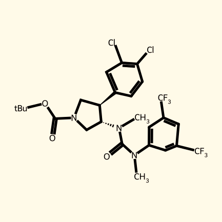 CN(C(=O)N(C)[C@@H]1CN(C(=O)OC(C)(C)C)C[C@H]1c1ccc(Cl)c(Cl)c1)c1cc(C(F)(F)F)cc(C(F)(F)F)c1